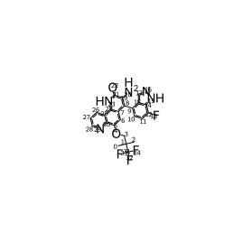 CC(C)(COc1cc2c(-c3ccc(F)c4[nH]ncc34)c(N)c(=O)[nH]c2c2cccnc12)C(F)(F)F